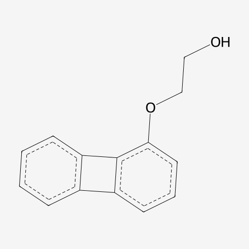 OCCOc1cccc2c1-c1ccccc1-2